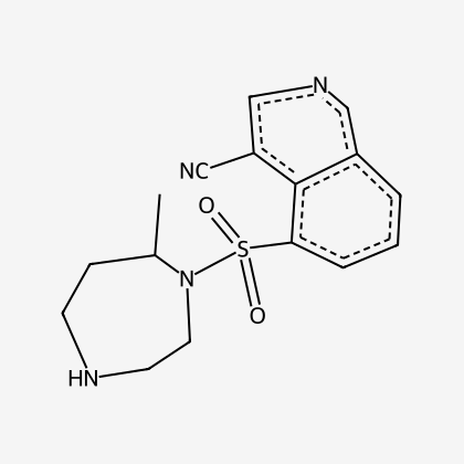 CC1CCNCCN1S(=O)(=O)c1cccc2cncc(C#N)c12